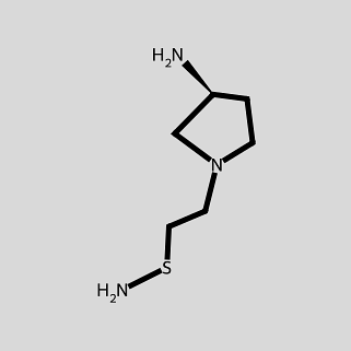 NSCCN1CC[C@H](N)C1